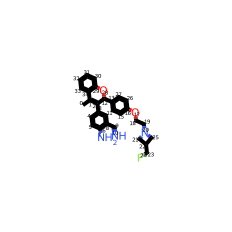 CC1=C(c2ccc(N)c(C=N)c2)C(c2ccc(OCCN3CC(CF)C3)cc2)Oc2ccccc21